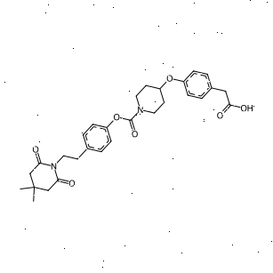 CC1(C)CC(=O)N(CCc2ccc(OC(=O)N3CCC(Oc4ccc(CC(=O)O)cc4)CC3)cc2)C(=O)C1